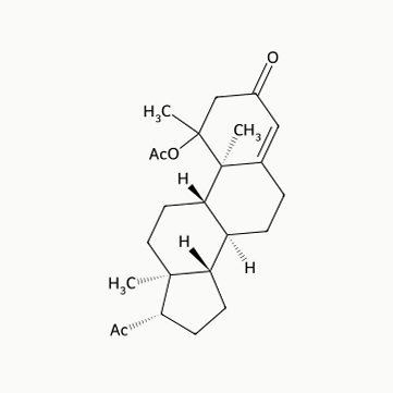 CC(=O)OC1(C)CC(=O)C=C2CC[C@H]3[C@@H]4CC[C@H](C(C)=O)[C@@]4(C)CC[C@@H]3[C@]21C